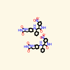 O=C1NC(=O)C(=Cc2ccc(NC(=C3C(=O)Nc4ccc([N+](=O)[O-])cc43)c3ccccc3)cc2)N1.O=C1NC(=O)C(Cc2ccc(NC(=C3C(=O)Nc4ccc([N+](=O)[O-])cc43)c3ccccc3)cc2)N1